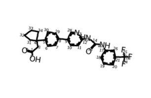 O=C(O)CC1(c2ccc(-c3ccc(NC(=O)Nc4cccc(C(F)(F)F)c4)nc3)cc2)CCCC1